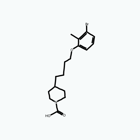 Cc1c(Br)cccc1OCCCCC1CCN(C(=O)O)CC1